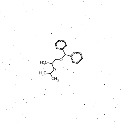 CC(C)OC(C)COC(c1ccccc1)c1ccccc1